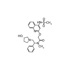 CN(C(=O)COc1cc(NS(C)(=O)=O)c2ccccc2n1)C(CN1CC[C@H](O)C1)c1ccccc1